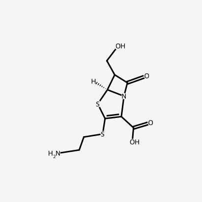 NCCSC1=C(C(=O)O)N2C(=O)C(CO)[C@@H]2S1